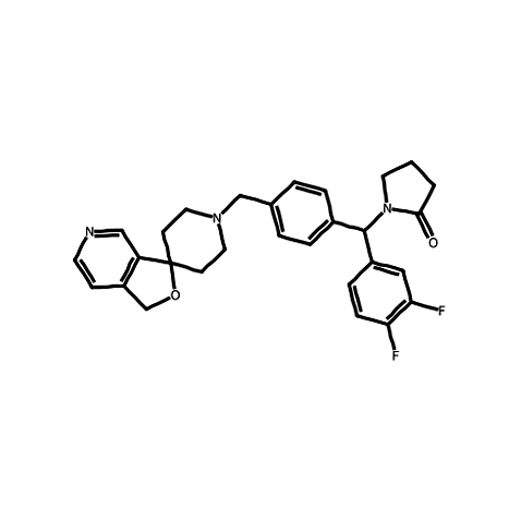 O=C1CCCN1C(c1ccc(CN2CCC3(CC2)OCc2ccncc23)cc1)c1ccc(F)c(F)c1